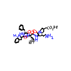 CC(C)CC[C@@H](NC(=O)[C@@H](Cc1ccccc1)NC(=O)[C@H](N)Cc1ccccc1)C(=O)N[C@H](CCCCN)C(=O)N1CCC(CC(=O)O)CC1